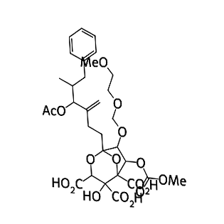 C=C(CCC12OC(C(=O)O)C(O)(C(=O)O)C(C(=O)O)(O1)C(OC(=O)OC)C2OCOCCOC)C(OC(C)=O)C(C)Cc1ccccc1